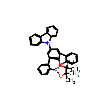 CC1(C)OB(c2ccccc2-c2cc(-n3c4ccccc4c4ccccc43)cc3c2sc2ccccc23)OC1(C)C